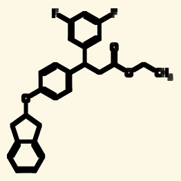 CCOC(=O)CC(c1ccc(OC2Cc3ccccc3C2)cc1)c1cc(F)cc(F)c1